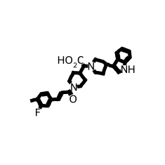 Cc1ccc(/C=C/C(=O)N2CCC(C(C(=O)O)N3CCC(c4c[nH]c5ccccc45)CC3)CC2)cc1F